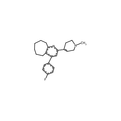 CN1CC=C(c2cc(-c3ccc(F)cc3)c3c(n2)CCCCCC3)CC1